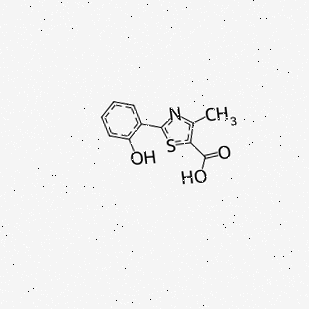 Cc1nc(-c2ccccc2O)sc1C(=O)O